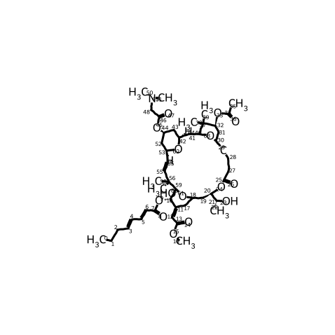 CCC/C=C/C=C/C(=O)O[C@H]1/C(=C/C(=O)OC)CC2C[C@H]([C@@H](C)O)OC(=O)CCCC3C[C@H](OC(C)=O)C(C)(C)C(C[C@@H]4C[C@H](OC(=O)CN(C)C)C[C@H](/C=C/C(C)(C)C1(O)O2)O4)O3